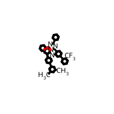 Cc1cc(C)cc(-c2ccc3c4ccccc4n(-c4cc(-c5ccccc5C(F)(F)F)ccc4-c4nc(-c5ccccc5)nc(-c5ccccc5)n4)c3c2)c1